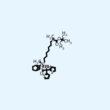 CN(CCCCCCCC[N+](C)(C)C1CC2CCC1C2OC(=O)C(O)(c1cccs1)c1cccs1)C(=O)OC(C)(C)C